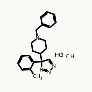 Cc1ccccc1C1(C2CCN(Cc3ccccc3)CC2)C=NN=N1.Cl.Cl